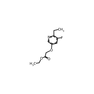 CCOC(=O)COc1cnc(CC)c(F)c1